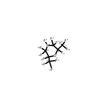 FN1C(F)(F)C(F)(C(F)(F)F)OC(F)(C(F)(F)F)C1(F)F